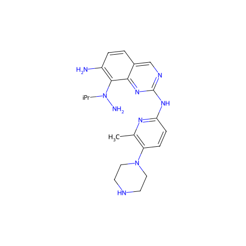 Cc1nc(Nc2ncc3ccc(N)c(N(N)C(C)C)c3n2)ccc1N1CCNCC1